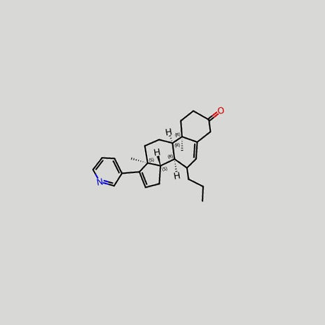 CCCC1C=C2CC(=O)CC[C@]2(C)[C@@H]2CC[C@]3(C)C(c4cccnc4)=CC[C@H]3[C@H]12